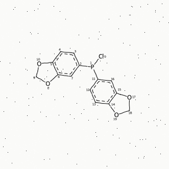 ClP(c1ccc2c(c1)OCO2)c1ccc2c(c1)OCO2